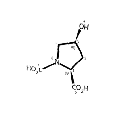 O=C(O)[C@@H]1C[C@H](O)CN1C(=O)O